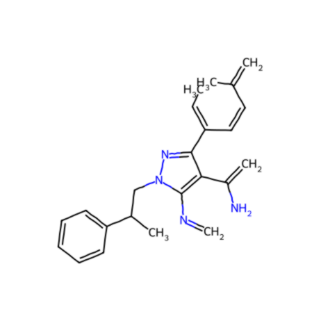 C=Nc1c(C(=C)N)c(C(/C=C\C(=C)C)=C/C)nn1CC(C)c1ccccc1